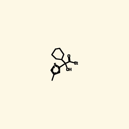 CCC(=O)C(O)(c1cc(C)cs1)C1CCCCC1